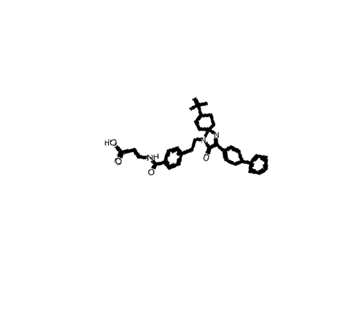 CC(C)(C)C1CCC2(CC1)N=C(C1=CCC(c3ccccc3)C=C1)C(=O)N2CCc1ccc(C(=O)NCCC(=O)O)cc1